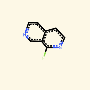 Fc1nccc2ccncc12